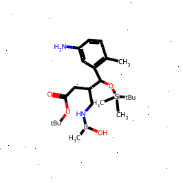 CB(O)NCC(CC(=O)OC(C)(C)C)C(O[Si](C)(C)C(C)(C)C)c1cc(N)ccc1C